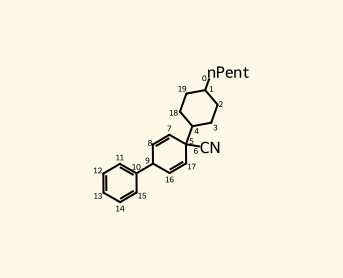 CCCCCC1CCC(C2(C#N)C=CC(c3ccccc3)C=C2)CC1